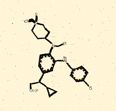 CCN(c1ccc(C(CC(=O)O)C2CC2)cc1Nc1ccc(Cl)cc1)C1CCS(=O)(=O)CC1